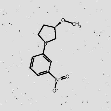 CO[C@@H]1CCN(c2cccc([N+](=O)[O-])c2)C1